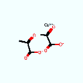 CC(=O)C(=O)[O-].CC(=O)C(=O)[O-].[Cu+2]